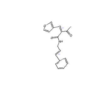 CC(=O)/C(=C/c1ccoc1)C(=O)NC/C=C/c1ccccc1